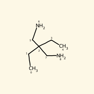 CCC(CC)(CN)CN